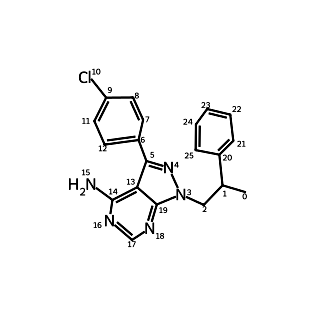 CC(Cn1nc(-c2ccc(Cl)cc2)c2c(N)ncnc21)c1ccccc1